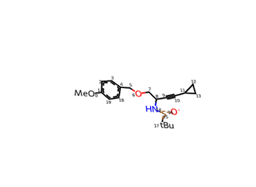 COc1ccc(COCC(C#CC2CC2)N[S+]([O-])C(C)(C)C)cc1